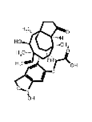 C=C[C@]1(C)C[C@@H](C(Oc2cc3c(cc2F)COB3O)C(=O)O)[C@@]2(C)[C@H](C)CC[C@]3(CCC(=O)[C@H]32)[C@@H](C)[C@@H]1O